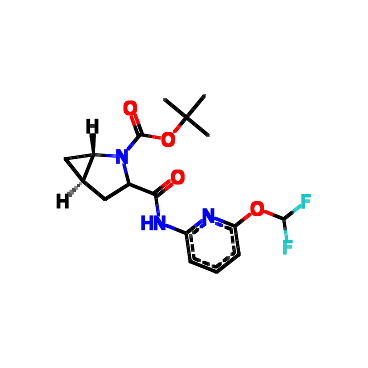 CC(C)(C)OC(=O)N1C(C(=O)Nc2cccc(OC(F)F)n2)C[C@H]2C[C@@H]21